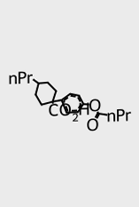 CCCC(=O)Oc1ccc(C2(C(=O)O)CCC(CCC)CC2)cc1